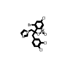 O=[N+]([O-])OC(Cc1ccc(Cl)c(Cl)c1)(Cn1ccnc1)c1ccc(Cl)cc1Br